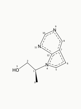 C[C@@H](CO)n1ccc2cncnc21